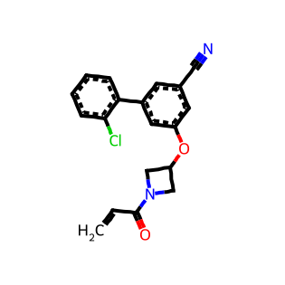 C=CC(=O)N1CC(Oc2cc(C#N)cc(-c3ccccc3Cl)c2)C1